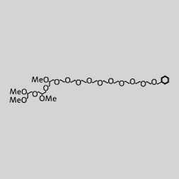 COCC(COCC(COCC(COCCOCCOCCOCCOCCOCCOCCOCCOCCOCc1ccccc1)OC)OC)OC